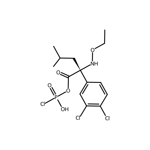 CCON[C@@](CC(C)C)(C(=O)OP(=O)(O)Cl)c1ccc(Cl)c(Cl)c1